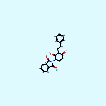 O=C1CCC(N2C(=O)c3ccccc3C2=O)C(=O)C1CCc1ccccc1